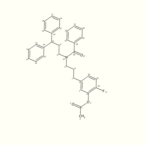 CC(=O)Oc1cc(CCCN(CCC(c2ccccc2)c2ccccc2)C(=O)c2ccccc2)ccc1F